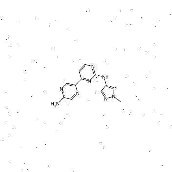 Cn1cc(Nc2nccc(-c3cnc(N)cn3)n2)cn1